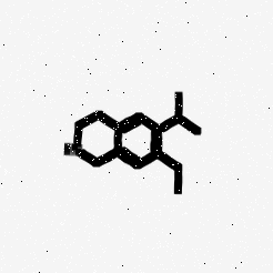 CCc1cc2c(cc1C(C)C)CCNC2